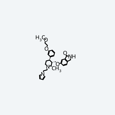 COCCOc1cccc([C@@H]2CCN(CCn3cccc3)[C@H](C)[C@H]2COc2ccc3c(c2)C(=O)NC3)c1